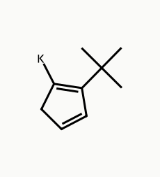 CC(C)(C)C1=[C]([K])CC=C1